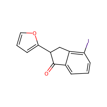 O=C1c2cccc(I)c2CC1c1ccco1